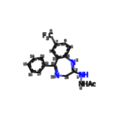 CC(=O)NNC1=Nc2ccc(C(F)(F)F)cc2C(c2ccccc2)=NC1